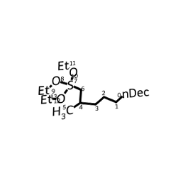 CCCCCCCCCCCCCC(C)CS(OCC)(OCC)OCC